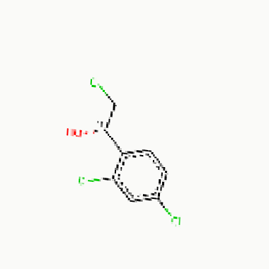 O[C@H](CCl)c1ccc(Cl)cc1Cl